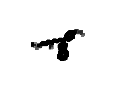 C=CCCNCC/C=C(/c1ccc(C)cc1)C1Cc2ccccc2C1